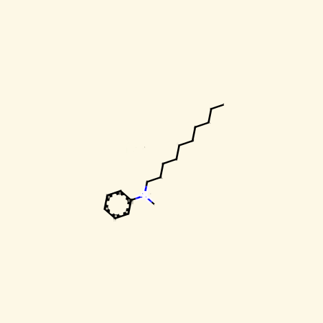 CCCCCCCCCCN(C)c1ccccc1.Cl